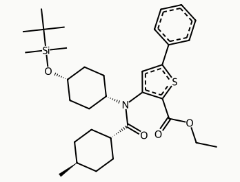 CCOC(=O)c1sc(-c2ccccc2)cc1N(C(=O)[C@H]1CC[C@H](C)CC1)[C@H]1CC[C@@H](O[Si](C)(C)C(C)(C)C)CC1